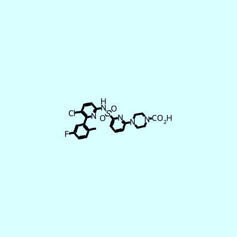 Cc1ccc(F)cc1-c1nc(NS(=O)(=O)c2cccc(N3CCN(C(=O)O)CC3)n2)ccc1Cl